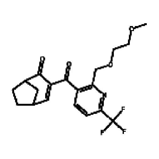 COCCOCc1nc(C(F)(F)F)ccc1C(=O)C1=CC2CCC(C2)C1=O